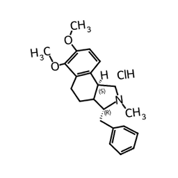 COc1ccc2c(c1OC)CCC1[C@@H]2CN(C)[C@@H]1Cc1ccccc1.Cl